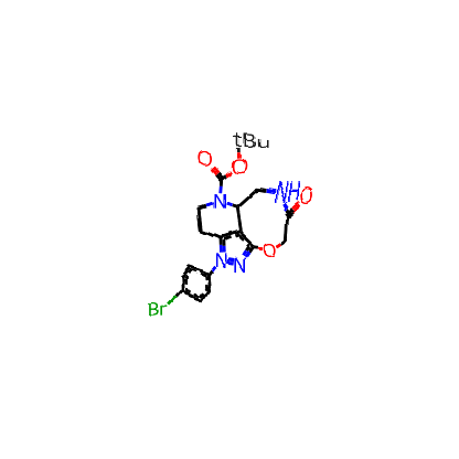 CC(C)(C)OC(=O)N1CCc2c3c(nn2-c2ccc(Br)cc2)OCC(=O)NCC31